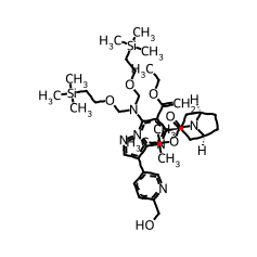 C=C(OCC)c1c([C@H]2C[C@H]3CC[C@@H](C2)N3C(=O)OC(C)(C)C)nc2c(-c3ccc(CO)nc3)cnn2c1N(COCC[Si](C)(C)C)COCC[Si](C)(C)C